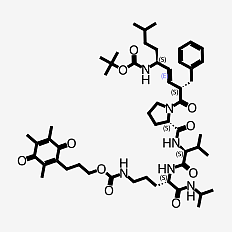 CC1=C(C)C(=O)C(CCCOC(=O)NCCC[C@H](NC(=O)[C@@H](NC(=O)[C@@H]2CCCN2C(=O)[C@H](/C=C/[C@H](CCC(C)C)NC(=O)OC(C)(C)C)Cc2ccccc2)C(C)C)C(=O)NC(C)C)=C(C)C1=O